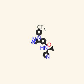 Cn1cc2c3cc(C(=O)NC(c4cccnc4)C4CC4)ccc3n(-c3ccc(C(F)(F)F)cc3)c2n1